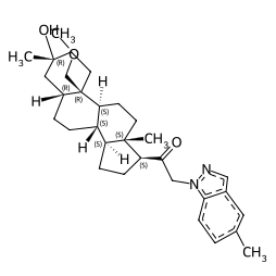 COC[C@]12CC[C@@](C)(O)C[C@H]1CC[C@H]1[C@@H]3CC[C@H](C(=O)Cn4ncc5cc(C)ccc54)[C@@]3(C)CC[C@@H]12